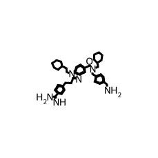 N=C(N)c1ccc(CCc2nc3cc(C(=O)N(Cc4ccc(CN)cc4)CC4CCCCC4)ccc3n2CCC2CCCCC2)cc1